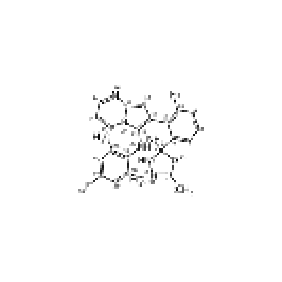 CC1=NNC(N)(c2cccc(F)c2-c2nc3ncccn3c2Nc2c(C)cc(F)cc2C)O1